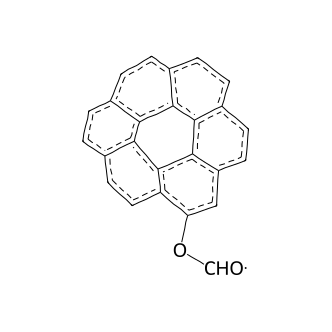 O=[C]Oc1cc2ccc3ccc4ccc5ccc6ccc1c1c6c5c4c3c21